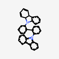 C1=CC2c3ccccc3N(c3ccccc3-c3ccccc3-n3c4ccccc4c4ccccc43)C2C=C1